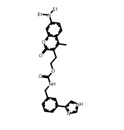 CCN(CC)c1ccc2c(C)c(CCOC(=O)NCc3cccc(-c4c[nH]cn4)c3)c(=O)oc2c1